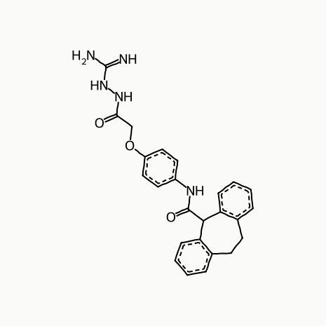 N=C(N)NNC(=O)COc1ccc(NC(=O)C2c3ccccc3CCc3ccccc32)cc1